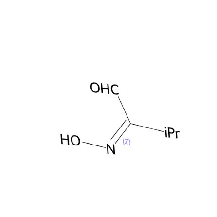 CC(C)/C(C=O)=N/O